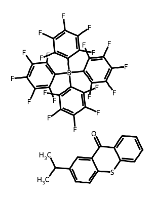 CC(C)c1ccc2sc3ccccc3c(=O)c2c1.Fc1c(F)c(F)c([B-](c2c(F)c(F)c(F)c(F)c2F)(c2c(F)c(F)c(F)c(F)c2F)c2c(F)c(F)c(F)c(F)c2F)c(F)c1F